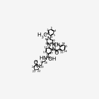 Cc1ccccc1N1CCN(c2ccc(C(O)NCCCN3CCCC3=O)cc2NC(=O)c2ccccc2Cl)CC1